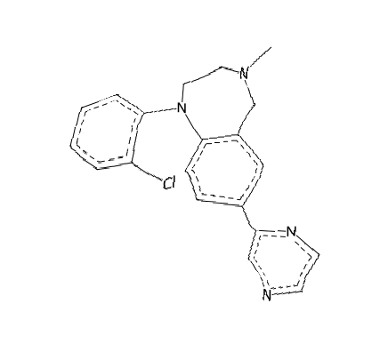 CN1CCN(c2ccccc2Cl)c2ccc(-c3cnccn3)cc2C1